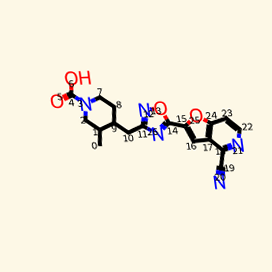 CC1CN(C(=O)O)CCC1Cc1noc(-c2cc3c(C#N)nccc3o2)n1